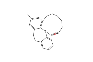 Cc1cc2c3c(c1)CCc1ccccc1B3c1ccccc1CCCCC2